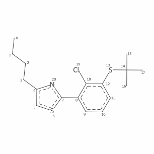 CCCCc1csc(-c2cccc(SC(C)(C)C)c2Cl)n1